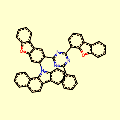 c1ccc(-c2nc(-c3cc4c(cc3-n3c5ccccc5c5ccc6ccccc6c53)oc3ccccc34)nc(-c3cccc4c3oc3ccccc34)n2)cc1